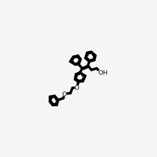 OCC/C(=C(/c1ccccc1)c1ccc(OCCOCc2ccccc2)cc1)c1ccccc1